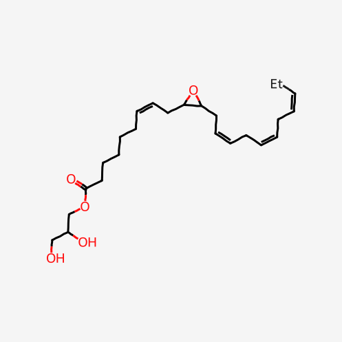 CC/C=C\C/C=C\C/C=C\CC1OC1C/C=C\CCCCCC(=O)OCC(O)CO